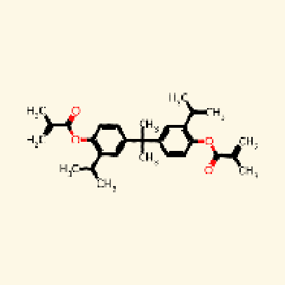 C=C(C)C(=O)Oc1ccc(C(C)(C)c2ccc(OC(=O)C(=C)C)c(C(C)C)c2)cc1C(C)C